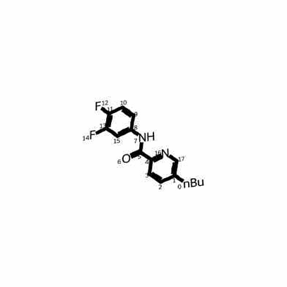 CCCCc1ccc(C(=O)Nc2ccc(F)c(F)c2)nc1